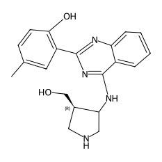 Cc1ccc(O)c(-c2nc(NC3CNC[C@H]3CO)c3ccccc3n2)c1